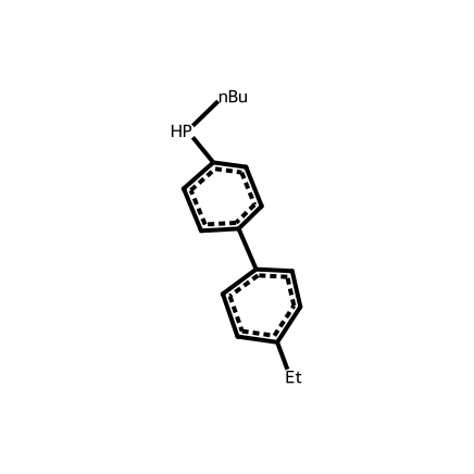 CCCCPc1ccc(-c2ccc(CC)cc2)cc1